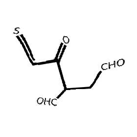 O=CCC(C=O)C(=O)C=S